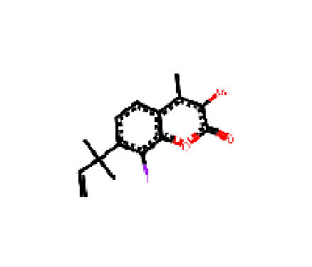 C=CC(C)(C)c1ccc2c(C)c(O)c(=O)oc2c1I